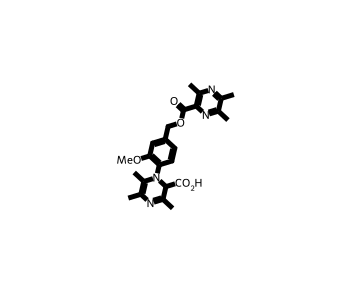 COc1cc(COC(=O)c2nc(C)c(C)nc2C)ccc1N1C(C)=C(C)N=C(C)C1C(=O)O